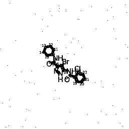 O=C(Nc1[nH]nc(C(=O)NC2CCCCC2)c1Br)c1ccccc1Cl